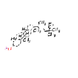 C[C@H](CCCC(C)(C)C)[C@H]1CC[C@H]2[C@@H]3CC[C@H]4C[C@@H](OI)CC[C@]4(C)[C@H]3CC[C@]12C